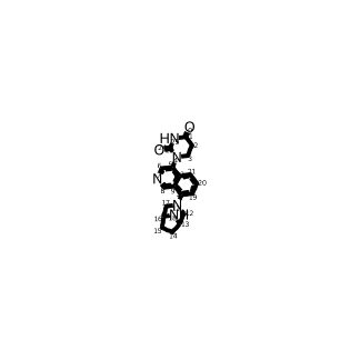 O=C1CCN(c2cncc3c(N4CC5CCC(C4)N5)cccc23)C(=O)N1